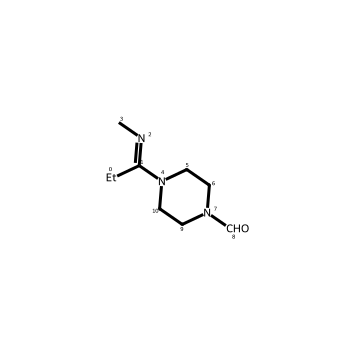 CC/C(=N\C)N1CCN(C=O)CC1